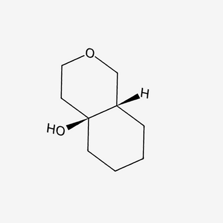 O[C@]12CCCC[C@H]1COCC2